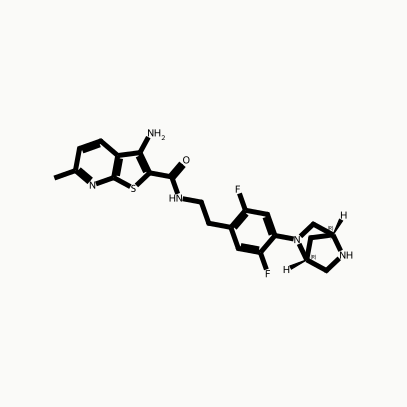 Cc1ccc2c(N)c(C(=O)NCCc3cc(F)c(N4C[C@H]5C[C@@H]4CN5)cc3F)sc2n1